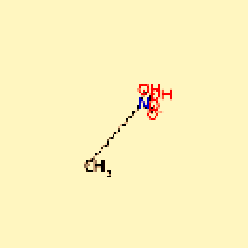 CCCCCCCCCCCCCCCCCC[N+](CCO)(CCO)CC(=O)[O-]